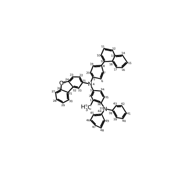 Cc1cc(N(c2ccc(-c3cccc4ccccc34)cc2)c2ccc3oc4ccccc4c3c2)ccc1N(c1ccccc1)c1ccccc1